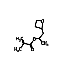 C=C(C)C(=O)OC(C)CC1CCO1